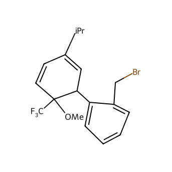 COC1(C(F)(F)F)C=CC(C(C)C)=CC1c1ccccc1CBr